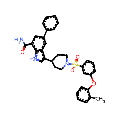 Cc1ccccc1Oc1cccc(S(=O)(=O)N2CCC(c3c[nH]c4c(C(N)=O)cc(-c5ccccc5)cc34)CC2)c1